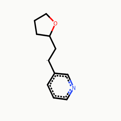 [CH](CC1CCCO1)c1cccnc1